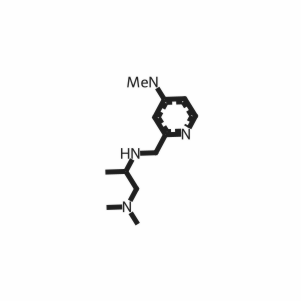 CNc1ccnc(CNC(C)CN(C)C)c1